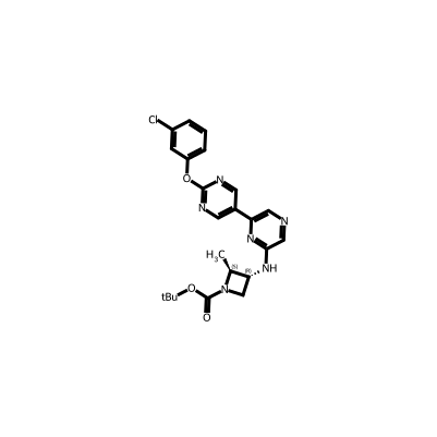 C[C@H]1[C@H](Nc2cncc(-c3cnc(Oc4cccc(Cl)c4)nc3)n2)CN1C(=O)OC(C)(C)C